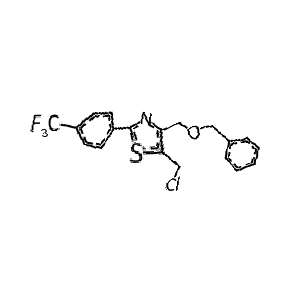 FC(F)(F)c1ccc(-c2nc(COCc3ccccc3)c(CCl)s2)cc1